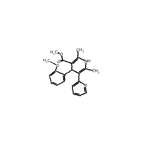 COC(=O)C1=C(C)NC(C)=C(c2ccccn2)C1c1ccccc1OC